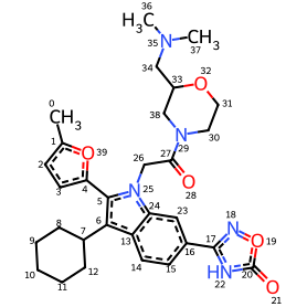 Cc1ccc(-c2c(C3CCCCC3)c3ccc(-c4noc(=O)[nH]4)cc3n2CC(=O)N2CCOC(CN(C)C)C2)o1